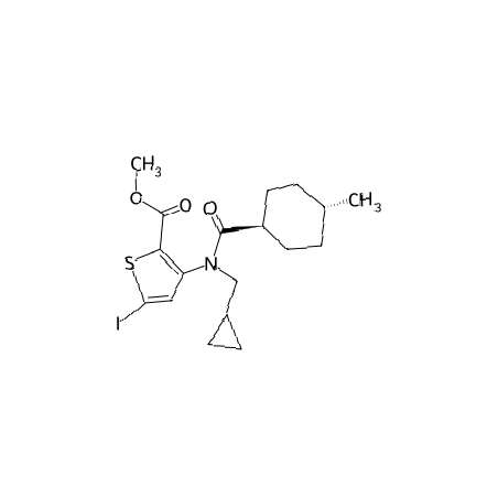 COC(=O)c1sc(I)cc1N(CC1CC1)C(=O)[C@H]1CC[C@H](C)CC1